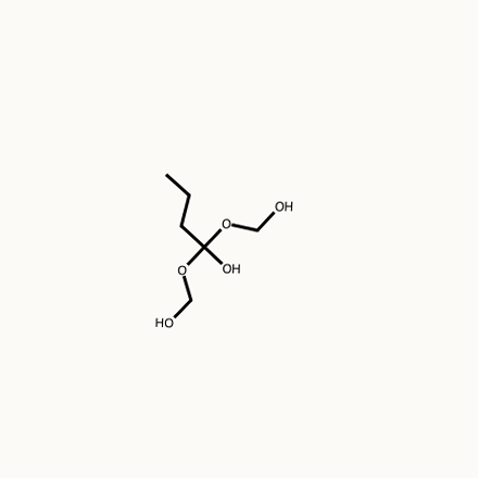 CCCC(O)(OCO)OCO